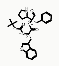 CC(C)(C)OC(=O)N[C@@H](Cc1csc2ccccc12)C(=O)N[C@@](C=O)(Cc1ccccc1)C1CCCN1